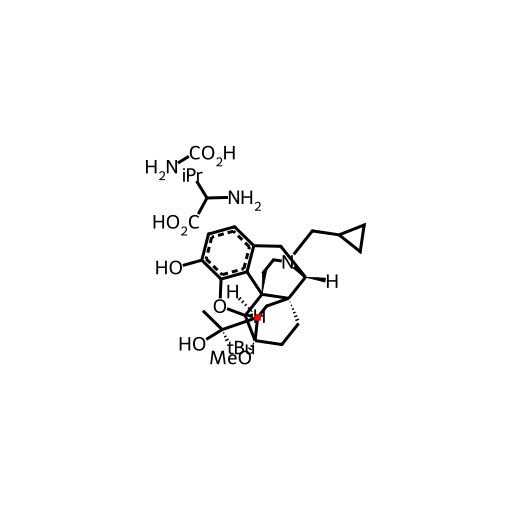 CC(C)C(N)C(=O)O.CO[C@@]12CC[C@@]3(C[C@@H]1[C@](C)(O)C(C)(C)C)[C@H]1Cc4ccc(O)c5c4[C@@]3(CCN1CC1CC1)[C@H]2O5.NC(=O)O